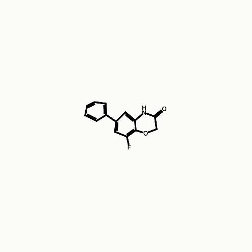 O=C1COc2c(F)cc(-c3ccccc3)cc2N1